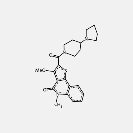 COc1c(C(=O)N2CCC(N3CCCC3)CC2)sc2c1c(=O)n(C)c1ccccc21